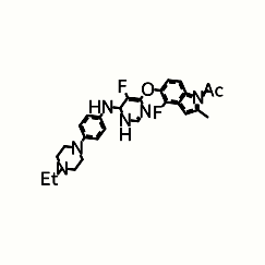 CCN1CCN(c2ccc(NC3NC=NC(Oc4ccc5c(cc(C)n5C(C)=O)c4F)=C3F)cc2)CC1